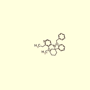 CCc1nccc(N(OCc2ccccc2)C2(c3ccccc3)CCCCC2)c1OC